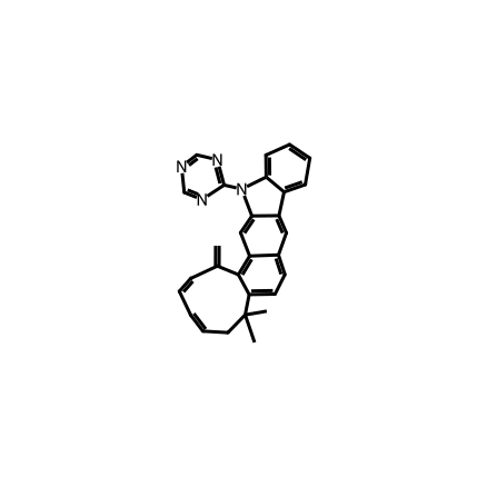 C=C1/C=C\C=C/CC(C)(C)c2ccc3cc4c5ccccc5n(-c5ncncn5)c4cc3c21